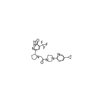 O=C(CN1CCCC1c1cc(C(F)(F)F)c(=O)[nH]n1)N1CCN(c2ccc(C3CC3)cn2)CC1